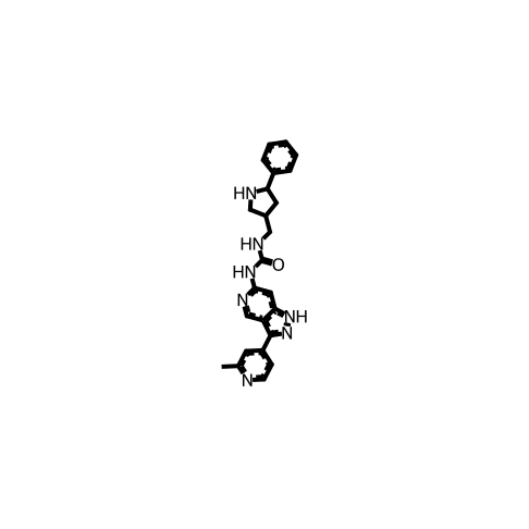 Cc1cc(-c2n[nH]c3cc(NC(=O)NCC4CNC(c5ccccc5)C4)ncc23)ccn1